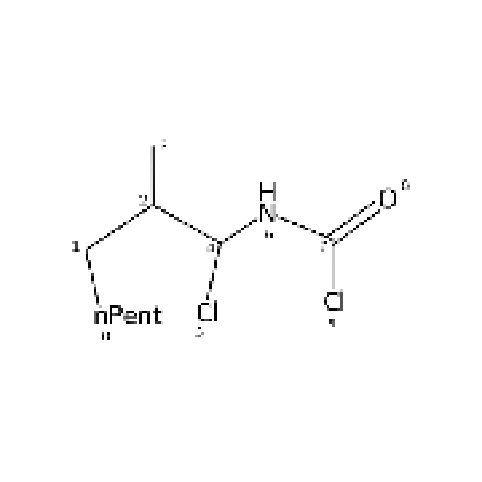 CCCCCCC(C)C(Cl)NC(=O)Cl